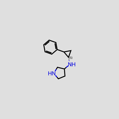 c1ccc(C2C[C@@H]2NC2CCNC2)cc1